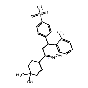 Cc1ccccc1C(C/C(=N\O)C1CCC(C)(O)CC1)c1ccc(S(C)(=O)=O)cc1